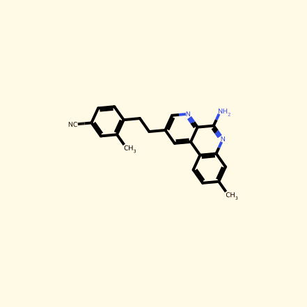 Cc1ccc2c(c1)nc(N)c1ncc(CCc3ccc(C#N)cc3C)cc12